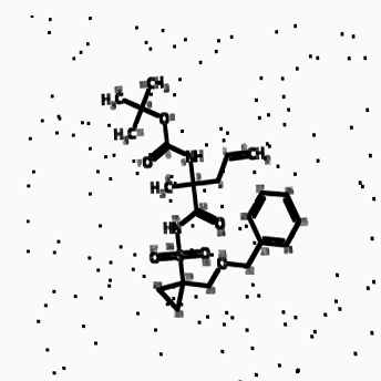 C=CCC(C)(NC(=O)OC(C)(C)C)C(=O)NS(=O)(=O)C1(COCc2ccccc2)CC1